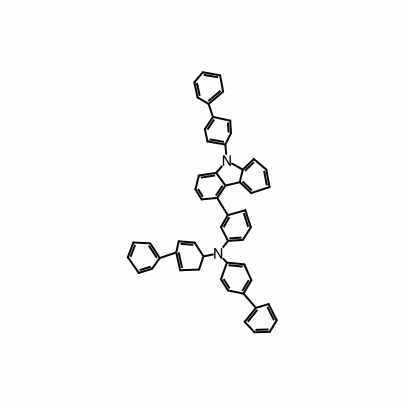 C1=CC(N(c2ccc(-c3ccccc3)cc2)c2cccc(-c3cccc4c3c3ccccc3n4-c3ccc(-c4ccccc4)cc3)c2)CC=C1c1ccccc1